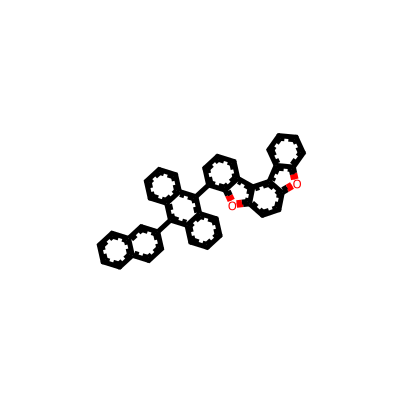 c1ccc2cc(-c3c4ccccc4c(-c4cccc5c4oc4ccc6oc7ccccc7c6c45)c4ccccc34)ccc2c1